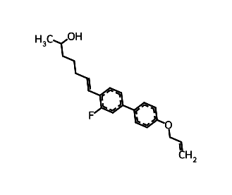 C=CCOc1ccc(-c2ccc(/C=C/CCCC(C)O)c(F)c2)cc1